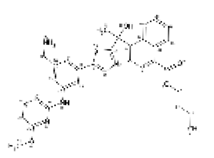 CCCCOC(=O)c1ccc(C(C)(O)c2ncc(-c3cc(CN)cc(Nc4nccc(OC)n4)c3)s2)c2ccccc12